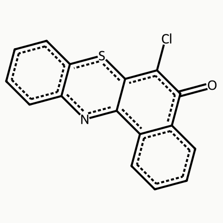 O=c1c(Cl)c2sc3ccccc3nc-2c2ccccc12